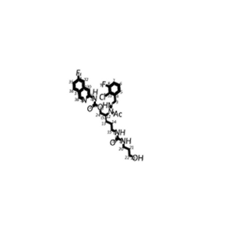 CC(=O)N(NCc1cccc(F)c1Cl)[C@@H](CCCNC(=O)NCCCO)COC(=O)Nc1cc2cc(F)ccc2cn1